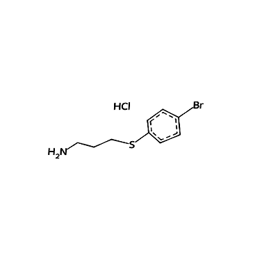 Cl.NCCCSc1ccc(Br)cc1